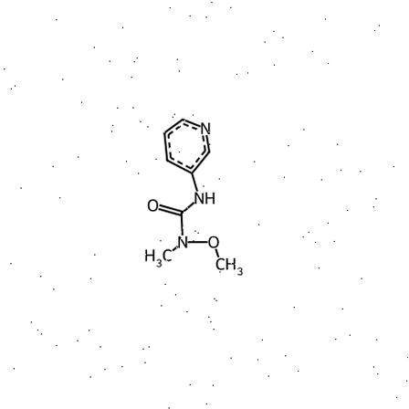 CON(C)C(=O)Nc1cccnc1